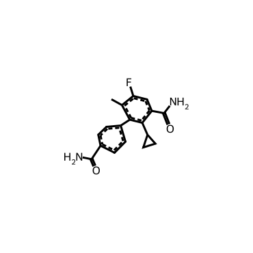 Cc1c(F)cc(C(N)=O)c(C2CC2)c1-c1ccc(C(N)=O)cc1